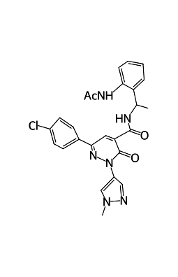 CC(=O)Nc1ccccc1C(C)NC(=O)c1cc(-c2ccc(Cl)cc2)nn(-c2cnn(C)c2)c1=O